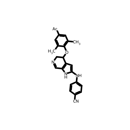 CC(=O)c1cc(C)c(OC2CN=Cc3[nH]c(Nc4ccc(C#N)cc4)cc32)c(C)c1